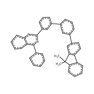 CC1(C)c2ccccc2-c2ccc(-c3cccc(-c4cccc(-c5nc(-c6ccccc6)c6ccccc6n5)c4)c3)cc21